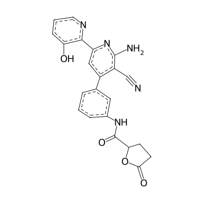 N#Cc1c(-c2cccc(NC(=O)C3CCC(=O)O3)c2)cc(-c2ncccc2O)nc1N